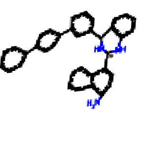 Nc1ccc([C@@H]2Nc3ccccc3C(c3cccc(-c4ccc(-c5ccccc5)cc4)c3)N2)c2ccccc12